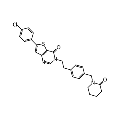 O=C1CCCCN1Cc1ccc(CCn2cnc3cc(-c4ccc(Cl)cc4)sc3c2=O)cc1